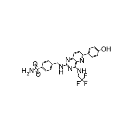 NS(=O)(=O)c1ccc(CNc2nc(NCC(F)(F)F)c3nc(-c4ccc(O)cc4)ccc3n2)cc1